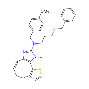 COc1ccc(CN(CCCOCc2ccccc2)c2nc3c(n2C)-c2sccc2CC/C=C\3)cc1